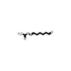 CC(=O)ON=CCCCCC=O